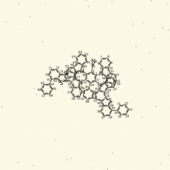 N#Cc1c(-n2c3ccccc3c3ccccc32)c(-n2c3ccccc3c3c4sc5c(-c6ccccc6)cccc5c4ccc32)c(-c2ccccc2)c(-n2c3ccccc3c3c4sc5c(-c6ccccc6)cccc5c4ccc32)c1-n1c2ccccc2c2ccccc21